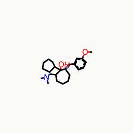 COc1cccc(/C=C2\CCCCC(CN(C)C)C2(O)C2CCCCC2)c1